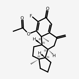 C=C1C[C@H]2[C@@H]3CCC[C@@]3(C)CC[C@@H]2[C@]2(C)C1=CC(=O)C(F)=C2OC(C)=O